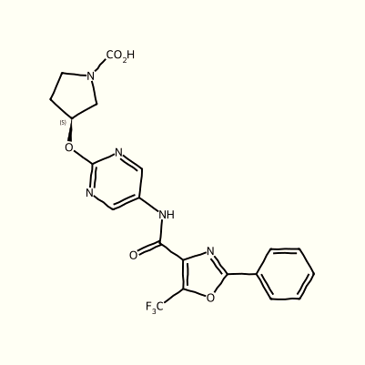 O=C(Nc1cnc(O[C@H]2CCN(C(=O)O)C2)nc1)c1nc(-c2ccccc2)oc1C(F)(F)F